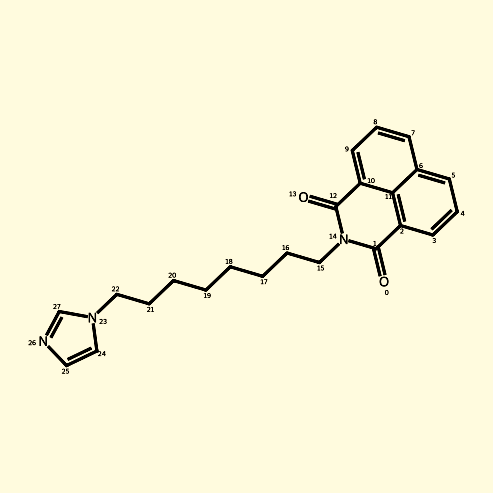 O=C1c2cccc3cccc(c23)C(=O)N1CCCCCCCCn1ccnc1